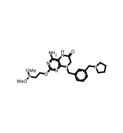 COP(CCOc1nc(N)c2c(n1)N(Cc1cccc(CN3CCCC3)c1)CC(=O)N2)OC